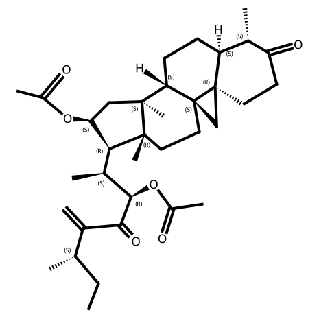 C=C(C(=O)[C@H](OC(C)=O)[C@@H](C)[C@H]1[C@@H](OC(C)=O)C[C@@]2(C)[C@@H]3CC[C@H]4[C@H](C)C(=O)CC[C@@]45C[C@@]35CC[C@]12C)[C@@H](C)CC